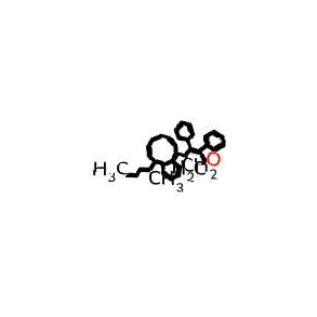 C=C(/C(c1ccccc1)=c1\c(=C)oc2ccccc12)c1ccccccc(/C(C)=C/C=C\C)c2ccccc12